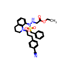 CCOC(=O)CNN(c1cccc2c1N(C(=O)CCc1ccc(C#N)cc1)CCC2)S(=O)(=O)Cc1ccccc1